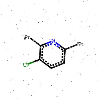 CC(C)c1ccc(Cl)c(C(C)C)n1